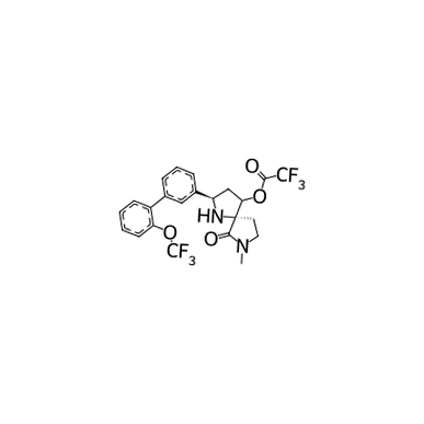 CN1CC[C@@]2(N[C@@H](c3cccc(-c4ccccc4OC(F)(F)F)c3)CC2OC(=O)C(F)(F)F)C1=O